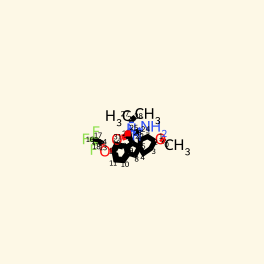 COC1CCC2(CC1)Cc1ccc(OCC(F)(F)F)cc1C21N=C(N)N(C(C)C)CC1=O